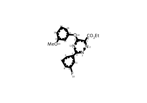 CCOC(=O)c1nnc(-c2cccc(F)c2)nc1Oc1cccc(OC)c1